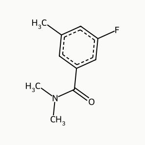 Cc1cc(F)cc(C(=O)N(C)C)c1